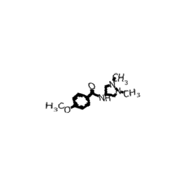 COc1ccc(C(=O)NC2CN(C)N(C)C2)cc1